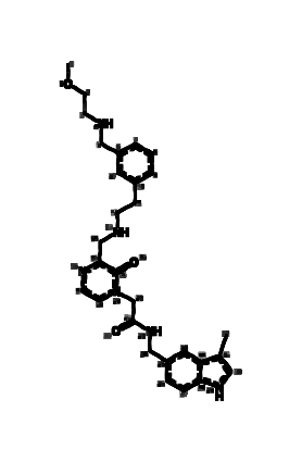 COCCNCc1cccc(CCNCc2nccn(CC(=O)NCc3ccc4[nH]cc(C)c4c3)c2=O)c1